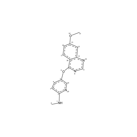 CNc1ccc(Oc2ncnc3cc(OC)ccc23)cn1